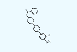 CCCc1ccc(-c2ccc(C3CCC(C[C@@H](C)c4ccccc4)CC3)cc2)cc1F